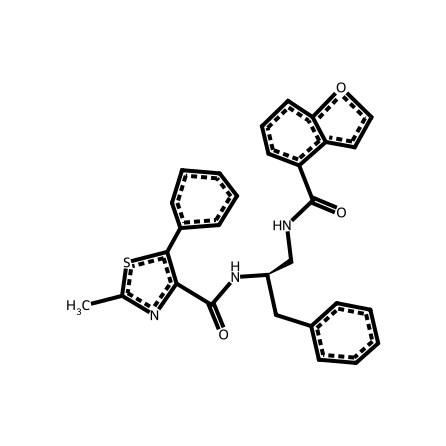 Cc1nc(C(=O)N[C@@H](CNC(=O)c2cccc3occc23)Cc2ccccc2)c(-c2ccccc2)s1